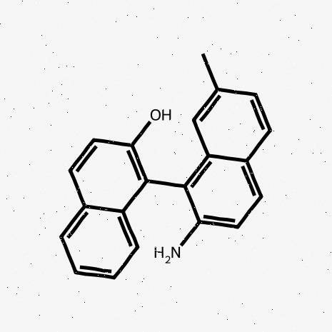 Cc1ccc2ccc(N)c(-c3c(O)ccc4ccccc34)c2c1